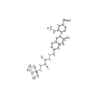 CCCCCc1ccc(-c2cc3ccc(OCCC(F)C(F)CC[Si](OCC)(OCC)OCC)cc3oc2=O)c(OC(F)(F)F)c1